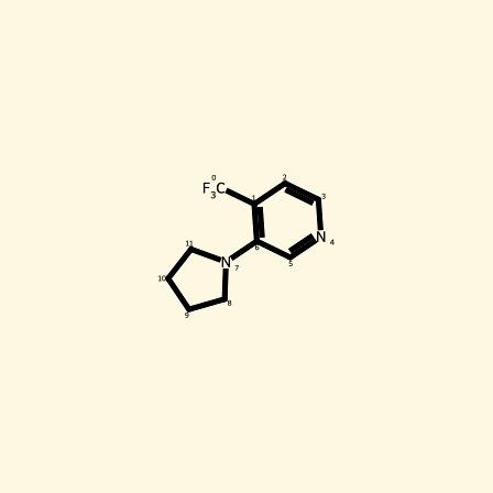 FC(F)(F)c1ccncc1N1CCCC1